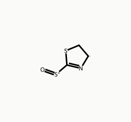 O=[S+]C1=N[CH]CS1